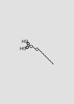 CCCCCCCCCCCCCCCCCC1CCC(CCC2CCC(c3ccc(O)cc3)(c3ccc(O)cc3)CC2)CC1